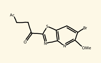 COc1nc2nc(C(=O)CCC(C)=O)sc2cc1Br